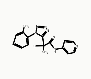 Cc1ccccc1-n1nnnc1C(C)(Cl)C(=O)Nc1ccncc1